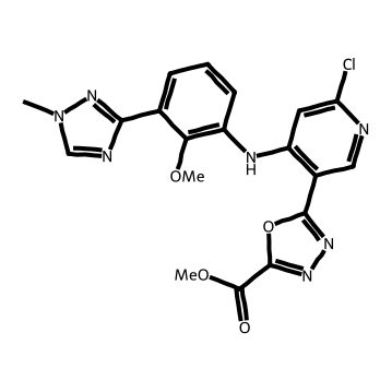 COC(=O)c1nnc(-c2cnc(Cl)cc2Nc2cccc(-c3ncn(C)n3)c2OC)o1